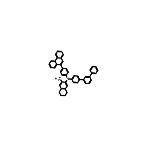 Cc1cc2c(cc1N(c1ccc(-c3cccc(-c4ccccc4)c3)cc1)c1ccc(-c3cc4ccccc4c4ccccc34)cc1)CCCC2